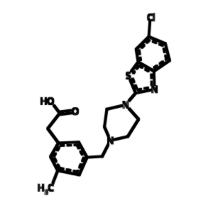 Cc1cc(CC(=O)O)cc(CN2CCN(c3nc4ccc(Cl)cc4s3)CC2)c1